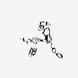 COc1ccc2nc(C=Cc3ccc(Cl)cc3)nc(NC[C@H]3CC[C@@H](N)CC3)c2c1.Cl.Cl